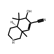 CC12C=C(C#N)C(O)C(C)(C)[C@@H]1CCNC2